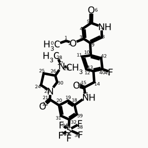 CCOc1cc(=O)[nH]cc1-c1ccc(CC(=O)Nc2cc(C(=O)N3CCC(N(C)C)C3)cc(S(F)(F)(F)(F)F)c2)c(F)c1